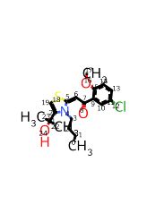 CCCCN1C(=CC(=O)c2cc(Cl)ccc2OC)SC=C1C(C)(C)O